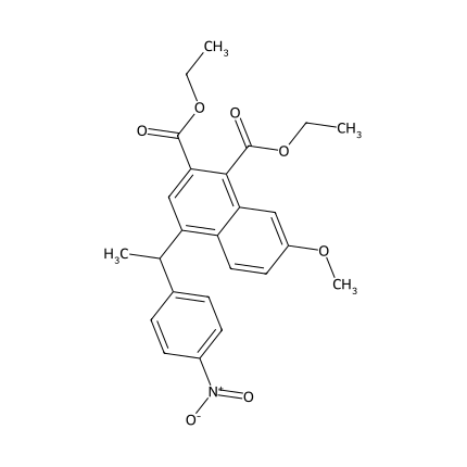 CCOC(=O)c1cc(C(C)c2ccc([N+](=O)[O-])cc2)c2ccc(OC)cc2c1C(=O)OCC